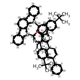 CCc1c(C2C=CC(c3ccccc3)=CC2)oc2ccc(-n3c4ccccc4c4ccc5c6ccccc6n(-c6nc(-c7ccc(C(C)(C)C)cc7)nc(-c7ccc(C(C)(C)C)cc7)n6)c5c43)cc12